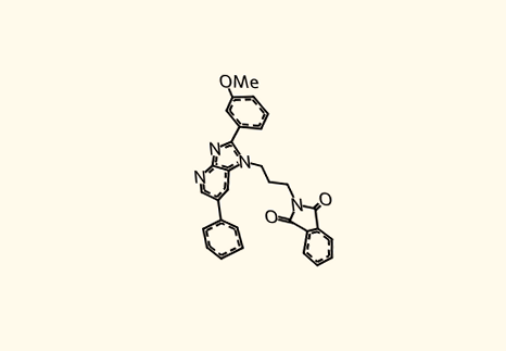 COc1cccc(-c2nc3ncc(-c4ccccc4)cc3n2CCCN2C(=O)c3ccccc3C2=O)c1